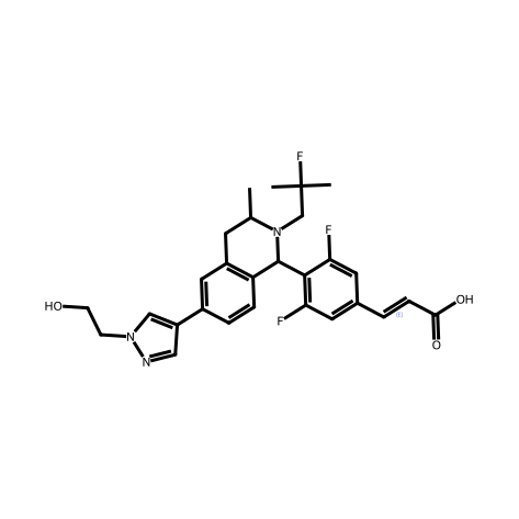 CC1Cc2cc(-c3cnn(CCO)c3)ccc2C(c2c(F)cc(/C=C/C(=O)O)cc2F)N1CC(C)(C)F